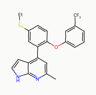 CCSc1ccc(Oc2cccc(C(F)(F)F)c2)c(-c2cc(C)nc3[nH]ccc23)c1